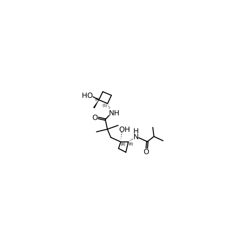 CC(C)C(=O)N[C@@H]1CC[C@@]1(O)CC(C)(C)C(=O)N[C@H]1CC[C@@]1(C)O